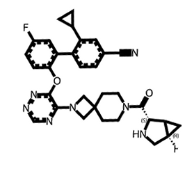 N#Cc1ccc(-c2cc(F)ccc2Oc2nncnc2N2CC3(CCN(C(=O)[C@H]4NC[C@@H]5CC54)CC3)C2)c(C2CC2)c1